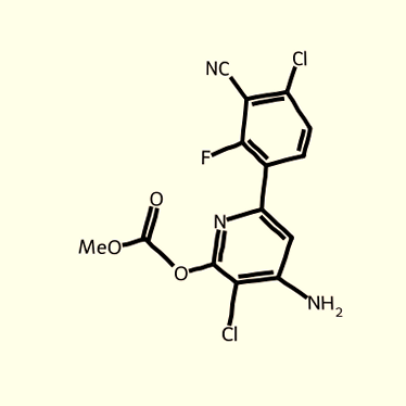 COC(=O)Oc1nc(-c2ccc(Cl)c(C#N)c2F)cc(N)c1Cl